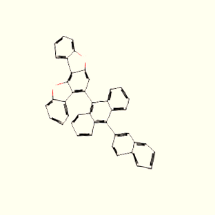 c1ccc2cc(-c3c4ccccc4c(-c4cc5oc6ccccc6c5c5oc6ccccc6c45)c4ccccc34)ccc2c1